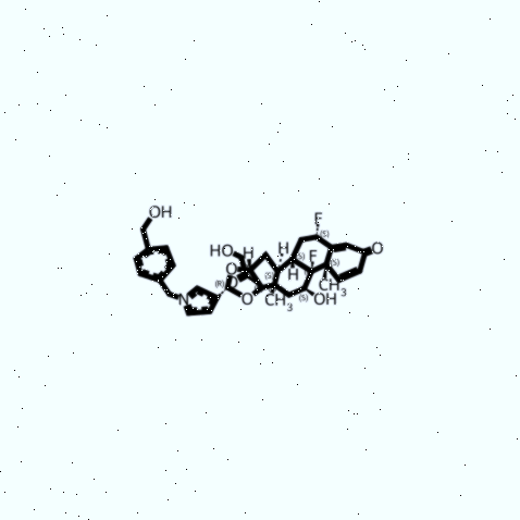 C[C@]12C=CC(=O)C=C1[C@@H](F)C[C@H]1[C@@H]3C[C@H]4O[C@@H](c5ccn(Cc6ccc(CO)cc6)c5)O[C@@]4(C(=O)CO)[C@@]3(C)C[C@H](O)[C@@]12F